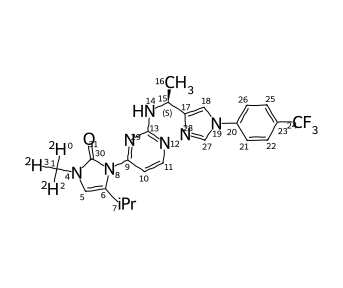 [2H]C([2H])([2H])n1cc(C(C)C)n(-c2ccnc(N[C@@H](C)c3cn(-c4ccc(C(F)(F)F)cc4)cn3)n2)c1=O